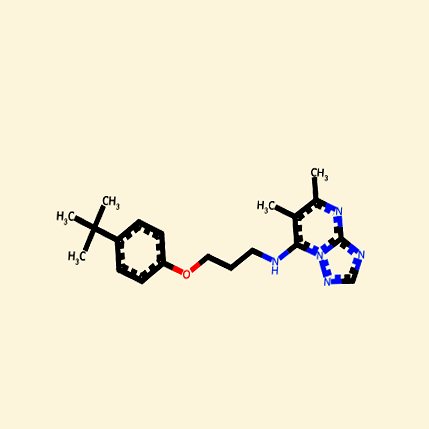 Cc1nc2ncnn2c(NCCCOc2ccc(C(C)(C)C)cc2)c1C